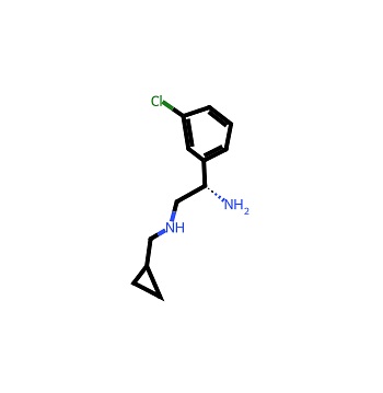 N[C@H](CNCC1CC1)c1cccc(Cl)c1